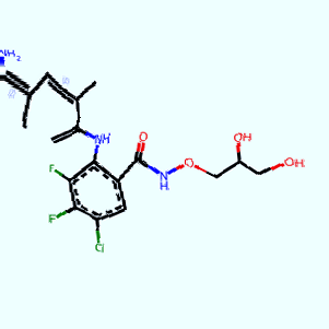 C=C(Nc1c(C(=O)NOCC(O)CO)cc(Cl)c(F)c1F)/C(C)=C\C(C)=C/N